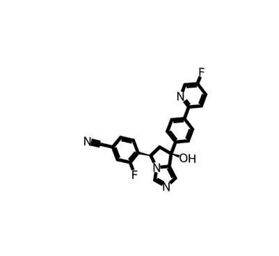 N#Cc1ccc([C@H]2C[C@](O)(c3ccc(-c4ccc(F)cn4)cc3)c3cncn32)c(F)c1